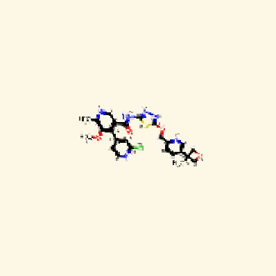 COc1c(C)ncc(C(=O)Nc2nnc(OCc3ccc(C4(C)COC4)cn3)s2)c1-c1ccnc(Cl)c1